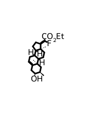 CCOC(=O)C(F)=C1CC[C@H]2[C@@H]3CC=C4C[C@@H](O)[C@H](C)C[C@]4(C)[C@H]3CC[C@]12C